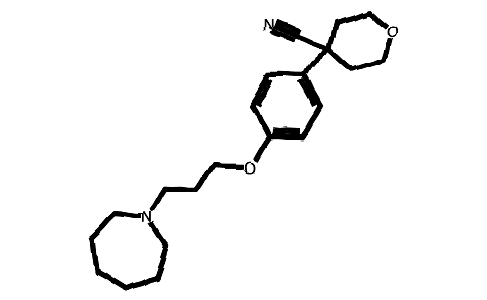 N#CC1(c2ccc(OCCCN3CCCCCC3)cc2)CCOCC1